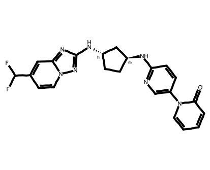 O=c1ccccn1-c1ccc(N[C@H]2CC[C@H](Nc3nc4cc(C(F)F)ccn4n3)C2)nc1